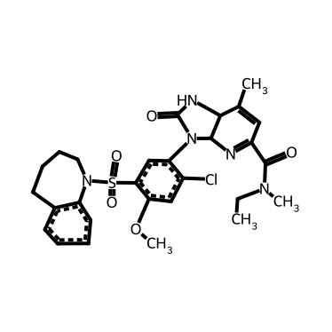 CCN(C)C(=O)C1=NC2C(NC(=O)N2c2cc(S(=O)(=O)N3CCCCc4ccccc43)c(OC)cc2Cl)C(C)=C1